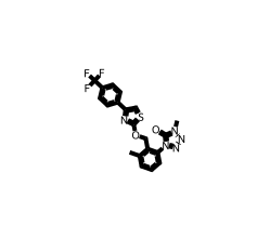 Cc1cccc(-n2nnn(C)c2=O)c1COc1nc(-c2ccc(C(F)(F)F)cc2)cs1